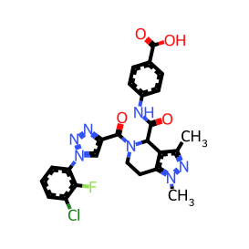 Cc1nn(C)c2c1C(C(=O)Nc1ccc(C(=O)O)cc1)N(C(=O)c1cn(-c3cccc(Cl)c3F)nn1)CC2